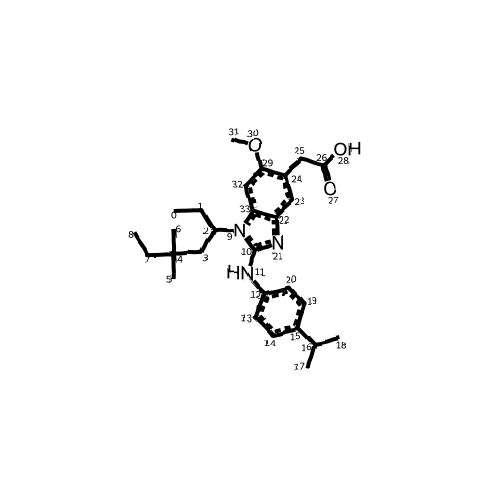 CCC(CC(C)(C)CC)n1c(Nc2ccc(C(C)C)cc2)nc2cc(CC(=O)O)c(OC)cc21